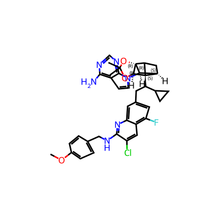 COc1ccc(CNc2nc3cc(CC(C4CC4)[C@@]45C6C[C@@H]4[C@@H](n4ccc7c(N)ncnc74)[C@]64OC(C)(C)O[C@@H]45)cc(F)c3cc2Cl)cc1